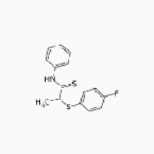 CC(Sc1ccc(F)cc1)C(=S)Nc1ccccc1